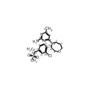 Cc1cc(N2CCCOC[C@@H]2c2ccc([C@@H](C)S(C)(=O)=O)cc2Cl)nc(N)n1